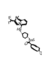 O=C(c1ccc(Cl)cc1)[N+](=S)[C@H]1CC[C@@H](Nc2cccc3nc(C(F)F)cn23)CC1